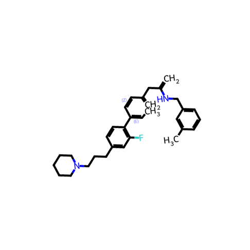 C=C(/C=C\C(=C/C)c1ccc(CCCN2CCCCC2)cc1F)CC(=C)NCc1cccc(C)c1